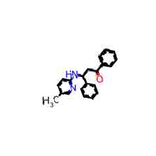 Cc1ccc(NC(CC(=O)c2ccccc2)c2ccccc2)nc1